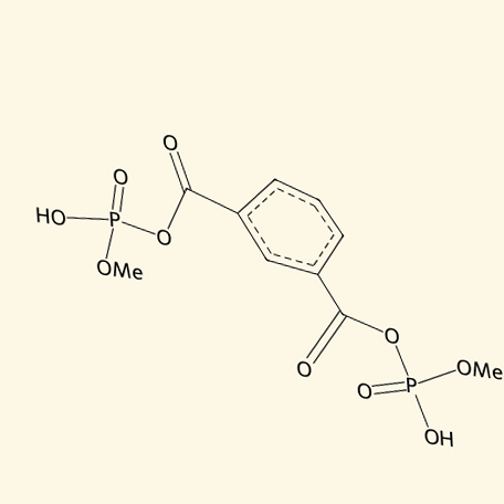 COP(=O)(O)OC(=O)c1cccc(C(=O)OP(=O)(O)OC)c1